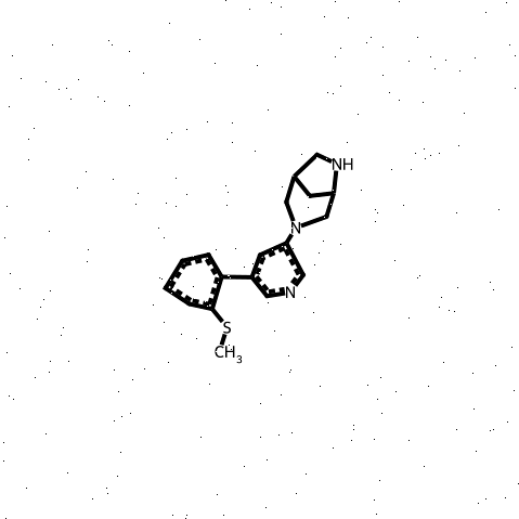 CSc1ccccc1-c1cncc(N2CC3CNC(C3)C2)c1